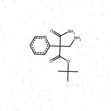 CC(C)(C)OC(=O)C(CN)(C(N)=O)c1ccccn1